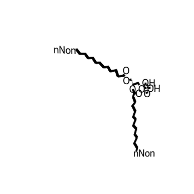 CCCCCCCCCC=CC=CC=CC=CC=CC=CC(=O)OC[C@H](COP(=O)(O)O)OC(=O)C=CC=CC=CC=CC=CC=CCCCCCCCCC